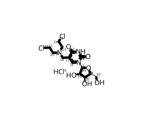 Cl.O=c1[nH]c(=O)n([C@@H]2O[C@H](CO)[C@@H](O)[C@H]2O)cc1CN(CCCl)CCCl